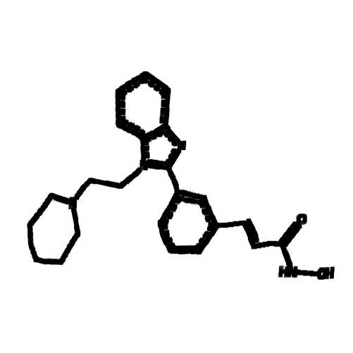 O=C(C=Cc1cccc(-c2nc3ccccc3n2CCN2CCCCC2)c1)NO